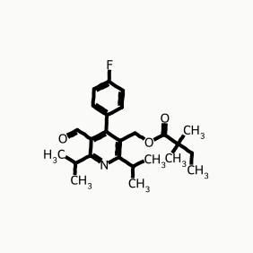 CCC(C)(C)C(=O)OCc1c(C(C)C)nc(C(C)C)c(C=O)c1-c1ccc(F)cc1